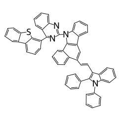 C(=C\c1c(-c2ccccc2)n(-c2ccccc2)c2ccccc12)/c1cc2c3ccccc3n(-c3nc(-c4cccc5c4sc4ccccc45)c4ccccc4n3)c2c2ccccc12